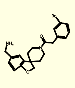 NCc1ccc2c(c1)C1(CCN(C(=O)Cc3cccc(Br)c3)CC1)CO2